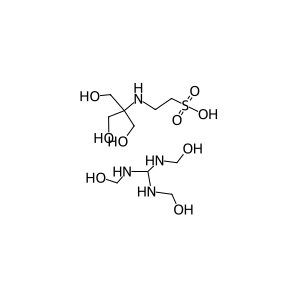 O=S(=O)(O)CCNC(CO)(CO)CO.OCNC(NCO)NCO